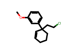 COc1cccc(C2(CCCl)C=CCCC2)c1